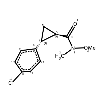 CON(C)C(=O)[C@@H]1C[C@H]1c1ccc(Cl)cc1